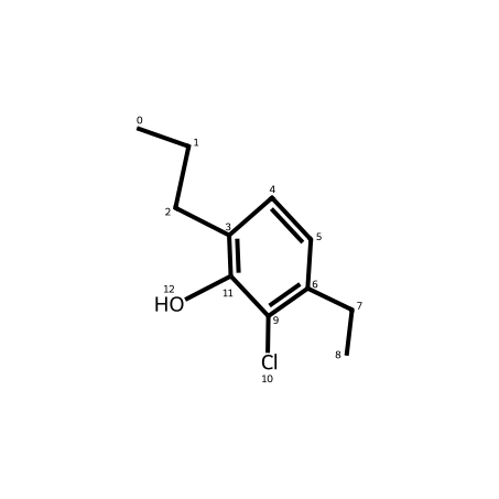 CCCc1ccc(CC)c(Cl)c1O